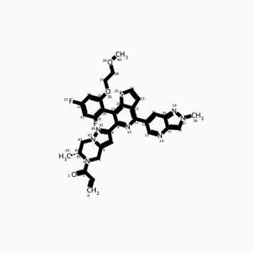 C=CC(=O)N1Cc2cc(-c3nc(-c4cnc5cn(C)nc5c4)c4ccsc4c3-c3c(F)cc(F)cc3OCCOC)nn2C[C@H]1C